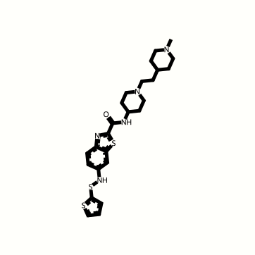 CN1CCC(CCN2CCC(NC(=O)c3nc4ccc(NSc5cccs5)cc4s3)CC2)CC1